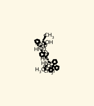 CSCC[C@H](NC(=O)[C@H](Cc1ccccc1)NC(=O)c1cccc2c1OCCC2NC[C@H](CSC(c1ccccc1)(c1ccccc1)c1ccccc1)NC(=O)OC(C)(C)C)C(=O)O